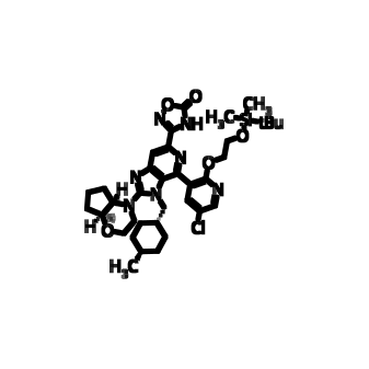 CC(C)(C)[Si](C)(C)OCCOc1ncc(Cl)cc1-c1nc(-c2noc(=O)[nH]2)cc2nc(N3CCO[C@H]4CCC[C@@H]43)n(C[C@H]3CC[C@H](C)CC3)c12